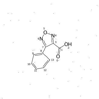 O=C(O)c1nonc1-c1ccccc1